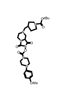 COc1ccc(N2CCN(C(=O)ON3C(=O)C4CN(CC5CCN(C(=O)OC(C)(C)C)CC5)CCN4C3=O)CC2)cc1